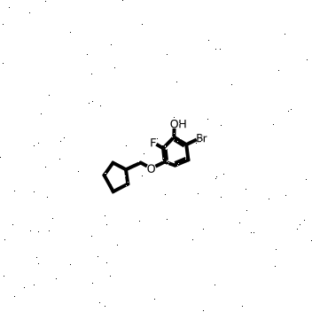 Oc1c(Br)ccc(OCC2CCCC2)c1F